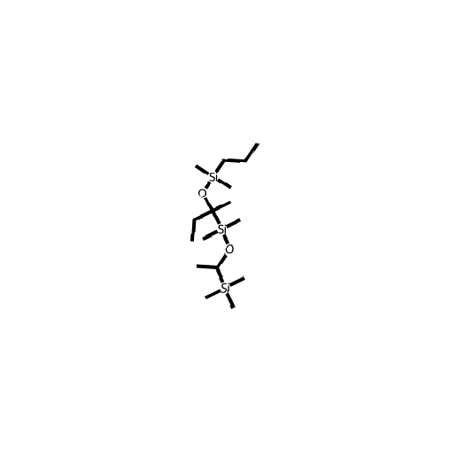 CCC[Si](C)(C)OC(C)(CC)[Si](C)(C)OC(C)[Si](C)(C)C